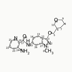 Cn1nc(OCC2CCCOC2)c2ccc(NC(=O)c3ncccc3N)cc21